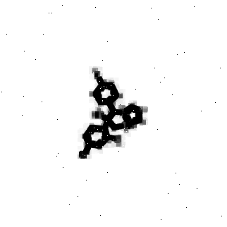 OCC(O)(c1ccc(Cl)cc1Cl)C(c1ccc(F)cc1)n1cncn1